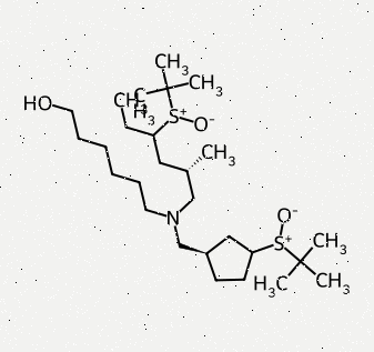 CCC(C[C@H](C)CN(CCCCCCO)C[C@@H]1CCC([S+]([O-])C(C)(C)C)C1)[S+]([O-])C(C)(C)C